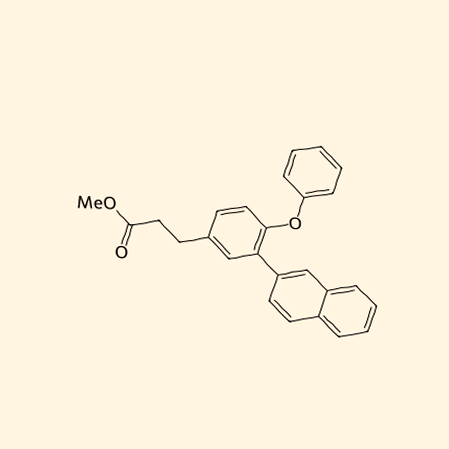 COC(=O)CCc1ccc(Oc2ccccc2)c(-c2ccc3ccccc3c2)c1